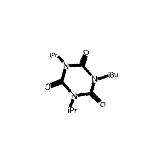 CCC(C)n1c(=O)n(C(C)C)c(=O)n(C(C)C)c1=O